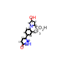 O=C(O)[C@@H]1CC(O)CN1c1ccc(-c2ccc(=O)[nH]n2)cc1C(F)(F)F